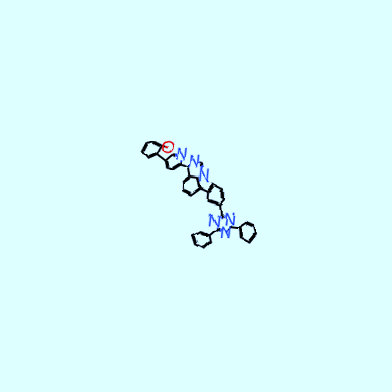 c1ccc(-c2nc(-c3ccccc3)nc(-c3cccc(-c4cccc5c(-c6ccc7c(n6)oc6ccccc67)ncnc45)c3)n2)cc1